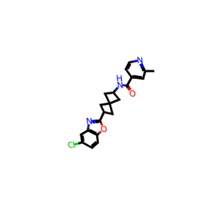 Cc1cc(C(=O)NC2CC3(C2)CC(c2nc4cc(Cl)ccc4o2)C3)ccn1